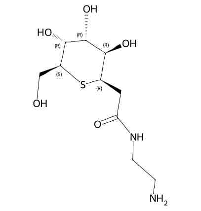 NCCNC(=O)C[C@H]1S[C@@H](CO)[C@H](O)[C@H](O)[C@H]1O